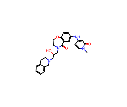 Cn1ccc(Nc2ccc3c(c2)C(=O)N(C[C@H](O)CN2CCc4ccccc4C2)CCO3)cc1=O